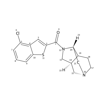 O=C(c1cc2c(Cl)cccc2s1)N1C[C@@H]2C[N@@]3CCC2[C@@H]1C3